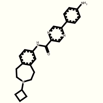 Nc1ccc(-c2cnc(C(=O)Nc3ccc4c(c3)CCN(C3CCC3)CC4)cn2)cc1